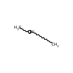 CCCCCCCCCCCCCCCC[n+]1ccc(CCCCCC)cc1